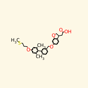 CSCCCOc1cc(C)c(-c2cccc(COc3ccc4c(c3)OCC4CC(=O)O)c2)c(C)c1